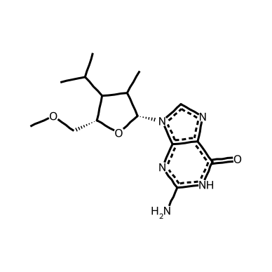 COC[C@H]1O[C@@H](n2cnc3c(=O)[nH]c(N)nc32)C(C)C1C(C)C